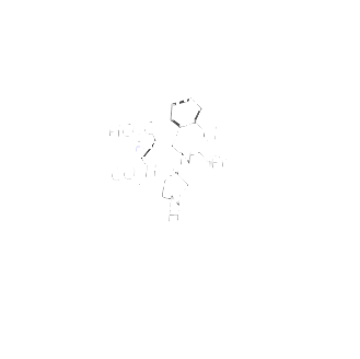 CC(C)CN(Cc1ccccc1Cl)[C@H]1CCNC1.O=C(O)/C=C/C(=O)O